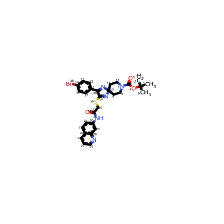 CC(C)(C)OC(=O)N1CCC2(CC1)N=C(SCC(=O)Nc1ccc3cccnc3c1)C(c1ccc(Br)cc1)=N2